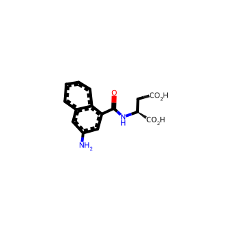 Nc1cc(C(=O)N[C@@H](CC(=O)O)C(=O)O)c2ccccc2c1